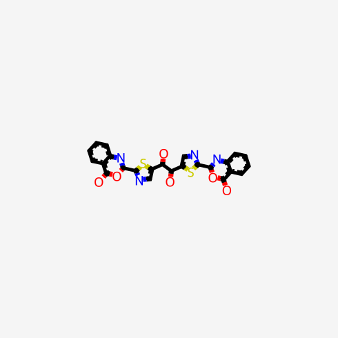 O=C(C(=O)c1cnc(-c2nc3ccccc3c(=O)o2)s1)c1cnc(-c2nc3ccccc3c(=O)o2)s1